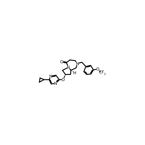 O=C1CCN(Cc2cccc(OC(F)(F)F)c2)C[C@H]2C[C@@H](Oc3cnc(C4CC4)cn3)CN12